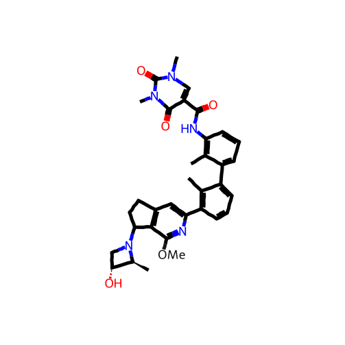 COc1nc(-c2cccc(-c3cccc(NC(=O)c4cn(C)c(=O)n(C)c4=O)c3C)c2C)cc2c1C(N1C[C@@H](O)[C@@H]1C)CC2